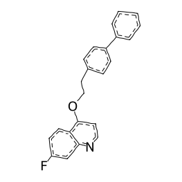 Fc1ccc2c(OCCc3ccc(-c4ccccc4)cc3)ccnc2c1